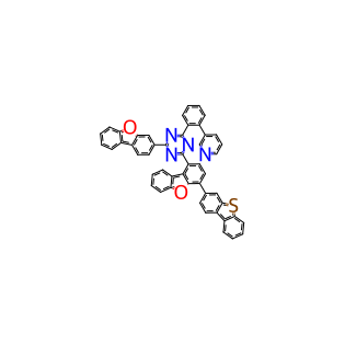 c1cncc(-c2ccccc2-c2nc(-c3ccc4c(c3)oc3ccccc34)nc(-c3ccc(-c4ccc5c(c4)sc4ccccc45)c4oc5ccccc5c34)n2)c1